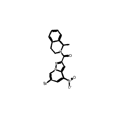 CC1c2ccccc2CCN1C(=O)c1cc2c([N+](=O)[O-])cc(Br)cn2n1